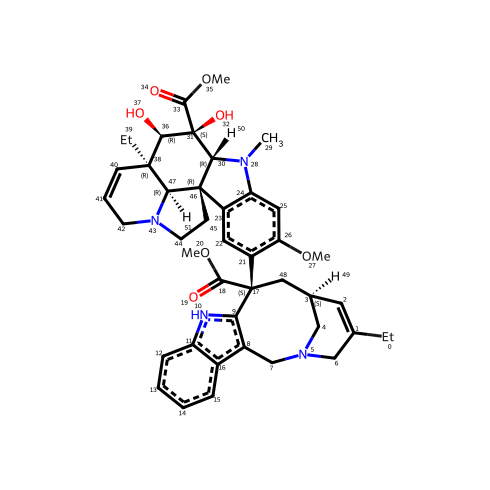 CCC1=C[C@H]2CN(C1)Cc1c([nH]c3ccccc13)[C@@](C(=O)OC)(c1cc3c(cc1OC)N(C)[C@H]1[C@@](O)(C(=O)OC)[C@H](O)[C@]4(CC)C=CCN5CC[C@]31[C@@H]54)C2